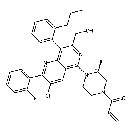 C=CC(=O)N1CCN(c2nc(CO)c(-c3ccccc3CCC)c3nc(-c4ccccc4F)c(Cl)cc23)[C@@H](C)C1